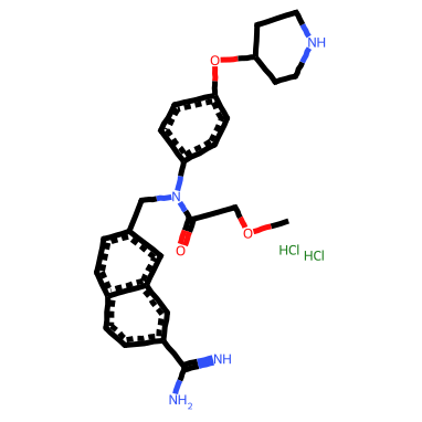 COCC(=O)N(Cc1ccc2ccc(C(=N)N)cc2c1)c1ccc(OC2CCNCC2)cc1.Cl.Cl